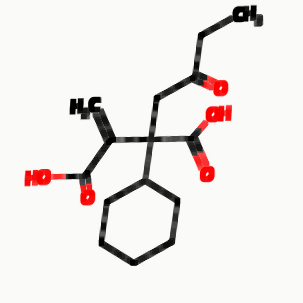 C=C(C(=O)O)C(CC(=O)CC)(C(=O)O)C1CCCCC1